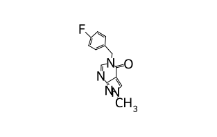 Cn1cc2c(=O)n(Cc3ccc(F)cc3)cnc2n1